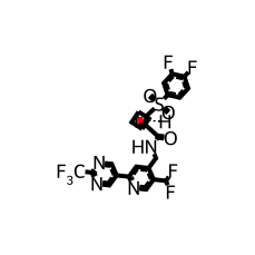 O=C(NCc1cc(-c2cnc(C(F)(F)F)nc2)ncc1C(F)F)[C@@H]1C2CC(C2)N1S(=O)(=O)c1ccc(F)c(F)c1